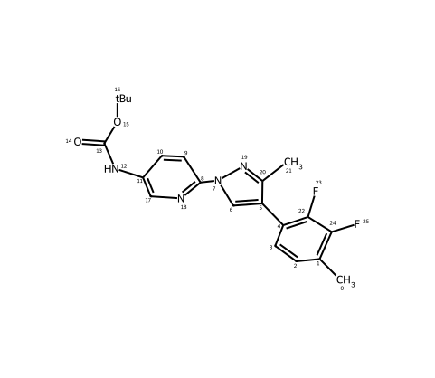 Cc1ccc(-c2cn(-c3ccc(NC(=O)OC(C)(C)C)cn3)nc2C)c(F)c1F